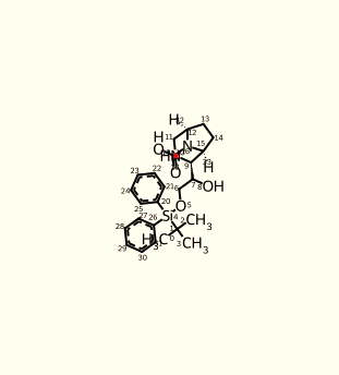 CC(C)(C)[Si](OCC(O)[C@H]1NC[C@H]2CC[C@@H]1N2C(=O)O)(c1ccccc1)c1ccccc1